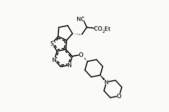 CCOC(=O)C(C#N)C[C@H]1CCc2sc3ncnc(O[C@H]4CC[C@H](N5CCOCC5)CC4)c3c21